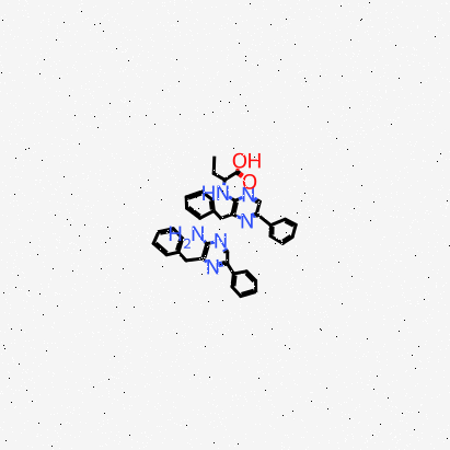 CCC(Nc1ncc(-c2ccccc2)nc1Cc1ccccc1)C(=O)O.Nc1ncc(-c2ccccc2)nc1Cc1ccccc1